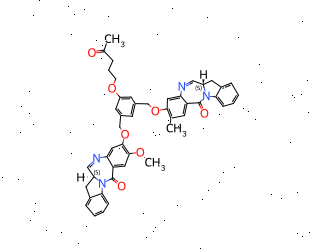 COc1cc2c(cc1OCc1cc(COc3cc4c(cc3C)C(=O)N3c5ccccc5C[C@H]3C=N4)cc(OCCCC(C)=O)c1)N=C[C@@H]1Cc3ccccc3N1C2=O